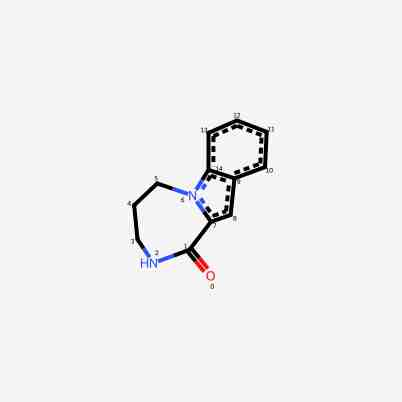 O=C1NCCCn2c1cc1ccccc12